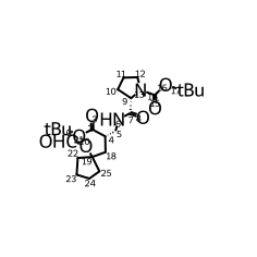 CC(C)(C)OC(=O)[C@H](CNC(=O)[C@@H]1CCCN1C(=O)OC(C)(C)C)CC1(OC=O)CCCC1